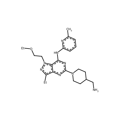 CCOCCn1nc(CC)c2nc(N3CCC(CN)CC3)nc(Nc3cccc(C)n3)c21